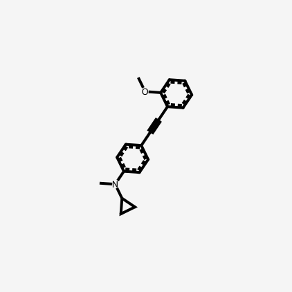 COc1ccccc1C#Cc1ccc(N(C)C2CC2)cc1